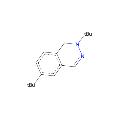 CC(C)(C)c1ccc2c(c1)C=NN(C(C)(C)C)C2